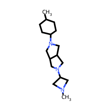 CC1CCC(N2CC3CN(C4CN(C)C4)CC3C2)CC1